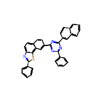 c1ccc(-c2nc(-c3ccc4ccccc4c3)nc(-c3ccc4ccc5nc(-c6ccccc6)sc5c4c3)n2)cc1